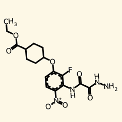 CCOC(=O)C1CCC(Oc2ccc([N+](=O)[O-])c(NC(=O)C(=O)NN)c2F)CC1